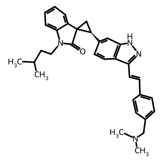 CC(C)CCN1C(=O)C2(C[C@H]2c2ccc3c(/C=C/c4ccc(CN(C)C)cc4)n[nH]c3c2)c2ccccc21